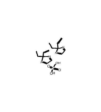 C=CC1(CC)N=CC=N1.C=CC1(CC)N=CC=N1.O=S(=O)(O)O